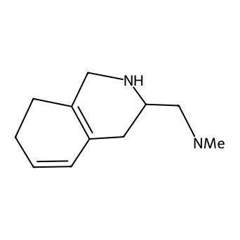 CNCC1CC2=C(CCC=C2)CN1